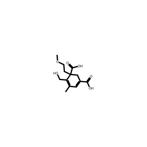 COCCC1(C(=O)O)CC(C(=O)O)=CC(C)=C1CO